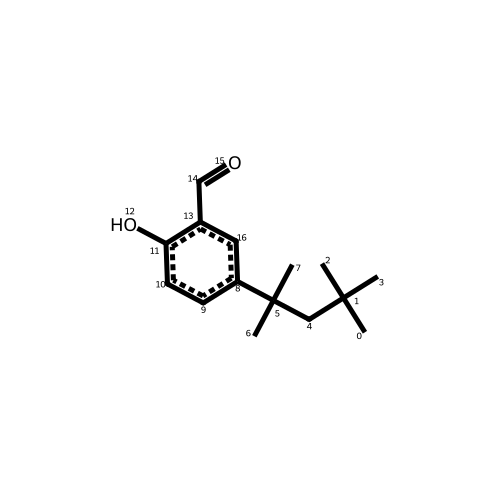 CC(C)(C)CC(C)(C)c1ccc(O)c(C=O)c1